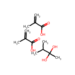 C=C(C)C(=O)O.C=C(C)C(=O)O.CC(C)C(C)(O)O